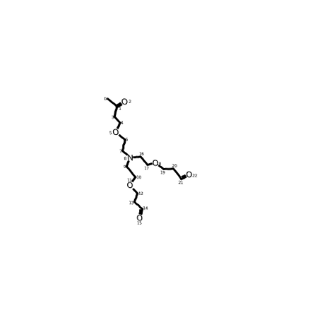 CC(=O)CCOCCN(CCOCCC=O)CCOCCC=O